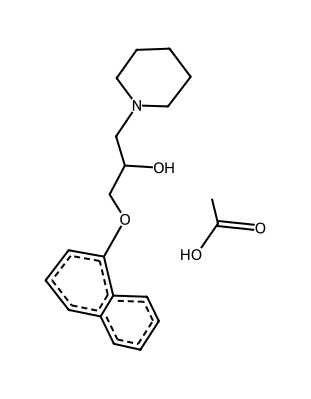 CC(=O)O.OC(COc1cccc2ccccc12)CN1CCCCC1